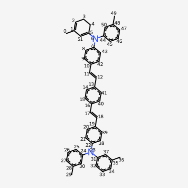 CC1=CCCC(N(c2ccc(/C=C/c3ccc(/C=C/c4ccc(N(c5cccc(C)c5)c5cccc(C)c5)cc4)cc3)cc2)c2cccc(C)c2)=C1